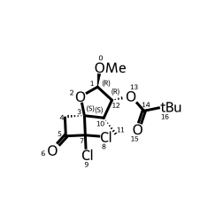 CO[C@@H]1O[C@@]2(CC(=O)C2(Cl)Cl)[C@@H](C)[C@H]1OC(=O)C(C)(C)C